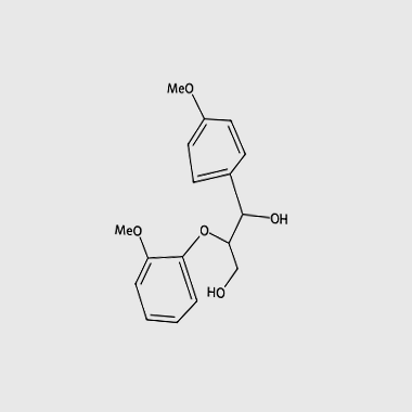 COc1ccc(C(O)C(CO)Oc2ccccc2OC)cc1